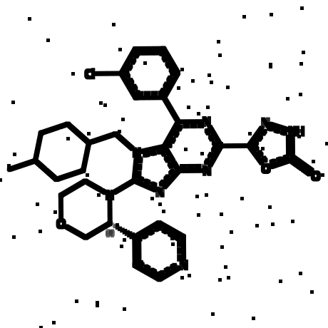 CC1CCC(Cn2c(N3CCOC[C@H]3c3ccncc3)nc3nc(-c4n[nH]c(=O)o4)nc(-c4cccc(Cl)c4)c32)CC1